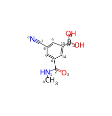 CNC(=O)c1cc(C#N)cc(B(O)O)c1